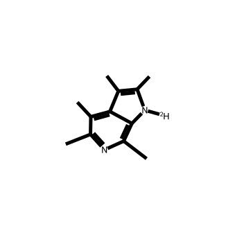 [2H]n1c(C)c(C)c2c(C)c(C)nc(C)c21